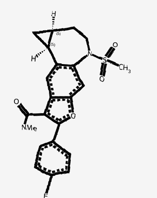 CNC(=O)c1c(-c2ccc(F)cc2)oc2cc3c(cc12)[C@H]1C[C@H]1CCN3S(C)(=O)=O